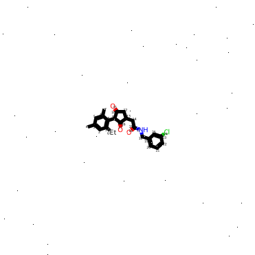 CCc1cc(C)cc(C)c1C1C(=O)CC(CC(=O)NCc2cccc(Cl)c2)C1=O